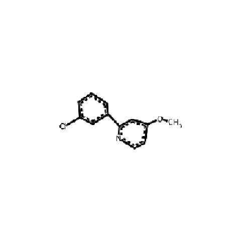 COc1ccnc(-c2cccc(Cl)c2)c1